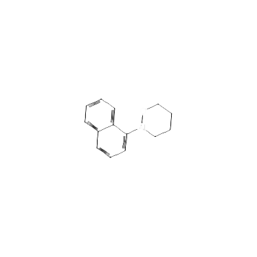 c1ccc2[c]([Al]3[CH2]CCC[O]3)cccc2c1